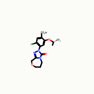 C[C@H](Oc1cc(-n2nc3n(c2=O)CCCOC3)c(F)cc1C(=O)O)C(F)(F)F